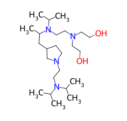 CC(C)N(CCN1CCC(CC(C)N(CCN(CCO)CCO)C(C)C)C1)C(C)C